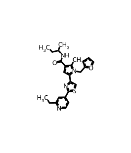 CCc1cc(-c2nc(-c3cc(C(=O)NC(C)CC)c(C)n3Cc3ccco3)cs2)ccn1